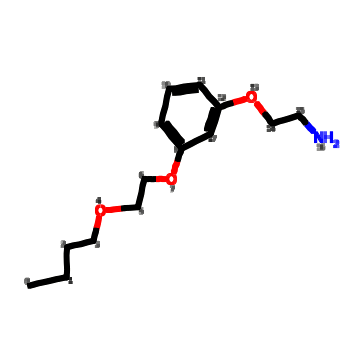 CCCCOCCOc1cccc(OCCN)c1